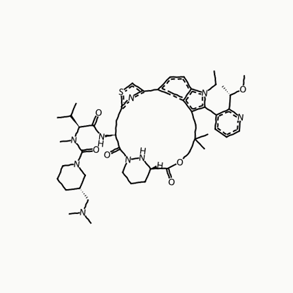 CCn1c(-c2cccnc2[C@H](C)OC)c2c3cc(ccc31)-c1csc(n1)C[C@H](NC(=O)[C@H](C(C)C)N(C)C(=O)N1CCC[C@@H](CN(C)C)C1)C(=O)N1CCC[C@H](N1)C(=O)OCC(C)(C)C2